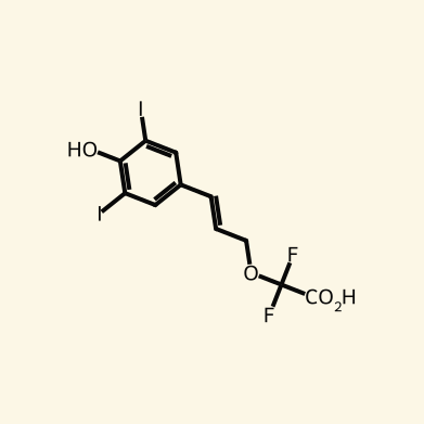 O=C(O)C(F)(F)OC/C=C/c1cc(I)c(O)c(I)c1